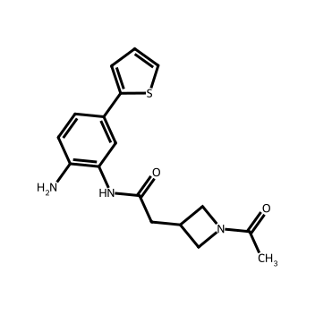 CC(=O)N1CC(CC(=O)Nc2cc(-c3cccs3)ccc2N)C1